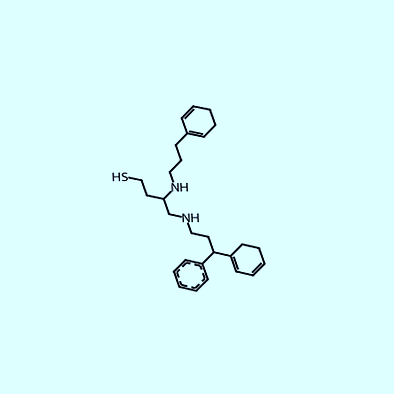 SCCC(CNCCC(C1=CC=CCC1)c1ccccc1)NCCCC1=CCCC=C1